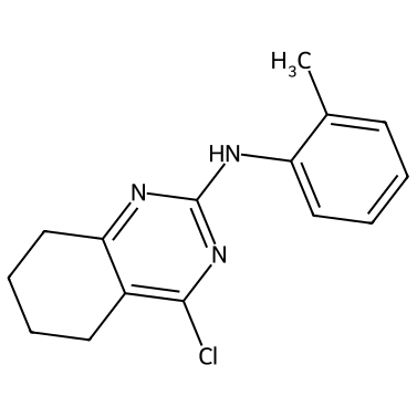 Cc1ccccc1Nc1nc(Cl)c2c(n1)CCCC2